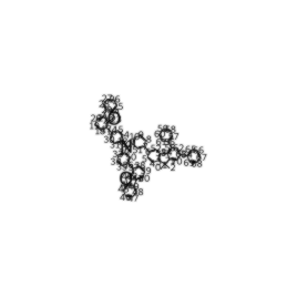 CC1(C)c2ccc(-c3cccc(N(c4ccc(-c5cccc6c5oc5ccccc56)cc4)c4cccc(-c5cccc6c5oc5ccccc56)c4)c3)cc2-c2c(-c3ccccc3)cc(-c3ccccc3)cc21